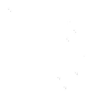 CCn1c(SCN2C=C(c3cc(C#N)cs3)ON2)nnc1-c1cccs1